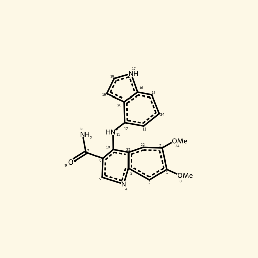 COc1cc2ncc(C(N)=O)c(Nc3cccc4[nH]ccc34)c2cc1OC